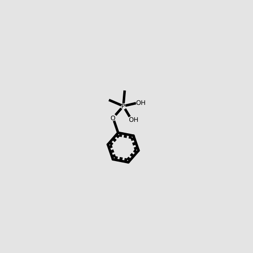 CP(C)(O)(O)Oc1ccccc1